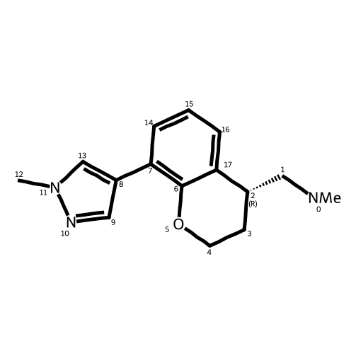 CNC[C@@H]1CCOc2c(-c3cnn(C)c3)cccc21